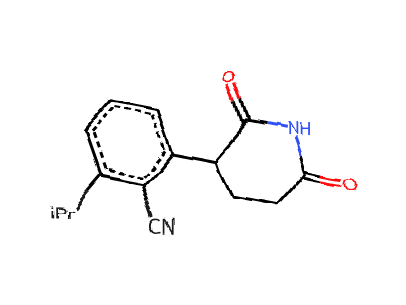 CC(C)c1cccc(C2CCC(=O)NC2=O)c1C#N